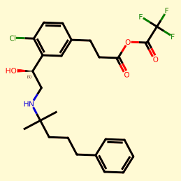 CC(C)(CCCc1ccccc1)NC[C@@H](O)c1cc(CCC(=O)OC(=O)C(F)(F)F)ccc1Cl